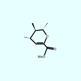 COC(=O)C1=C[C@H](C)[C@@H](C)[C@H](C)O1